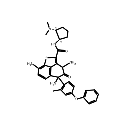 Cc1cc(Oc2ccccc2)ccc1C1(N)C(=O)C(N)c2c(C(=O)N[C@@H]3CCC[C@H]3N(C)C)sc3c(N)ccc1c23